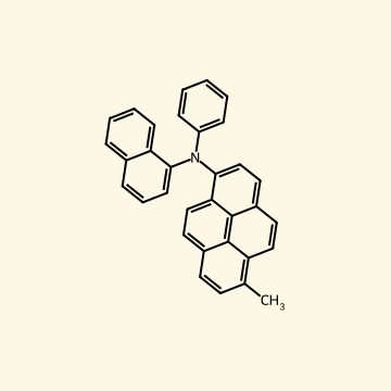 Cc1ccc2ccc3c(N(c4ccccc4)c4cccc5ccccc45)ccc4ccc1c2c43